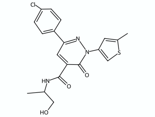 Cc1cc(-n2nc(-c3ccc(Cl)cc3)cc(C(=O)NC(C)CO)c2=O)cs1